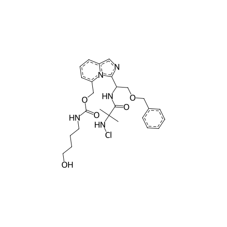 CC(C)(NCl)C(=O)NC(COCc1ccccc1)c1ncc2cccc(COC(=O)NCCCCO)n12